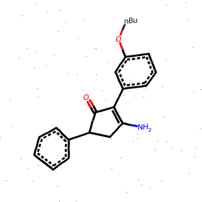 CCCCOc1cccc(C2=C(N)CC(c3ccccc3)C2=O)c1